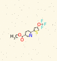 COC(=O)c1ccc(-c2cc(OC(F)(F)F)cs2)nc1